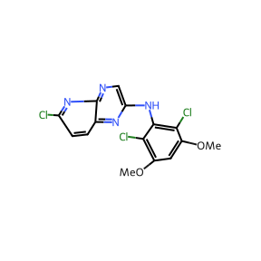 COc1cc(OC)c(Cl)c(Nc2cnc3nc(Cl)ccc3n2)c1Cl